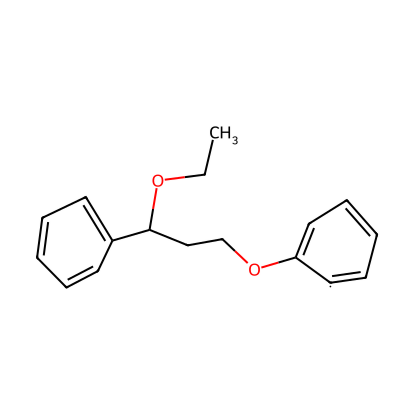 CCOC(CCOc1[c]cccc1)c1ccccc1